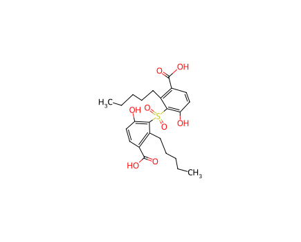 CCCCCc1c(C(=O)O)ccc(O)c1S(=O)(=O)c1c(O)ccc(C(=O)O)c1CCCCC